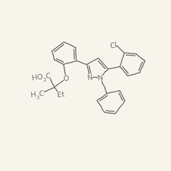 CCC(C)(Oc1ccccc1-c1cc(-c2ccccc2Cl)n(-c2ccccc2)n1)C(=O)O